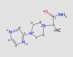 [C-]#[N+]C(C(N)=O)N1CCN(c2cnccn2)CC1